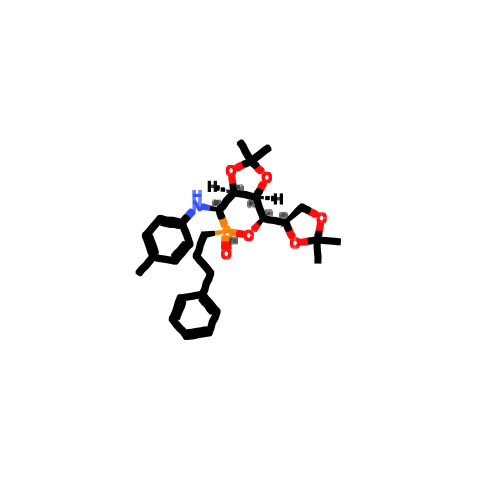 Cc1ccc(N[C@H]2[C@H]3OC(C)(C)O[C@H]3[C@@H]([C@H]3COC(C)(C)O3)O[P@@]2(=O)CCCc2ccccc2)cc1